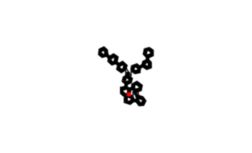 c1ccc(-c2ccc(-c3ccc(N(c4ccc(-c5cccc(-c6ccccc6)c5)cc4)c4ccc(-c5ccccc5-c5ccccc5-n5c6ccccc6c6ccccc65)cc4)cc3)cc2)cc1